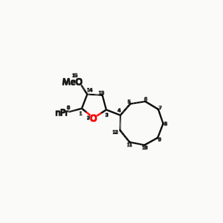 CCCC1OC(C2CCCCCCCC2)CC1OC